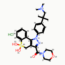 CN(C)CC(C)(C)c1ccc(-n2nc(C(=O)N3CCOCC3)c3c2-c2ccccc2S(O)(O)C3)cc1.Cl